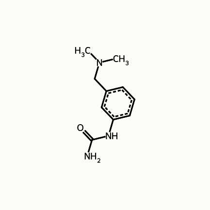 CN(C)Cc1cccc(NC(N)=O)c1